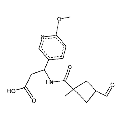 COc1ccc(C(CC(=O)O)NC(=O)C2(C)CC(C=O)C2)cn1